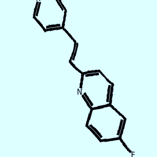 Fc1ccc2nc(/C=C/c3ccncc3)ccc2c1